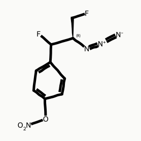 [N-]=[N+]=N[C@H](CF)C(F)c1ccc(O[N+](=O)[O-])cc1